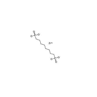 O=P([O-])([O-])CCCCCCCCP(=O)([O-])[O-].[Zr+4]